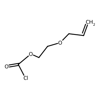 C=CCOCCOC(=O)Cl